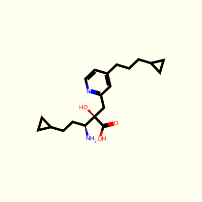 N[C@@H](CCC1CC1)[C@](O)(Cc1cc(CCCC2CC2)ccn1)C(=O)O